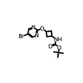 CC(C)(C)OC(=O)NC1CC(Oc2ncc(Br)cn2)C1